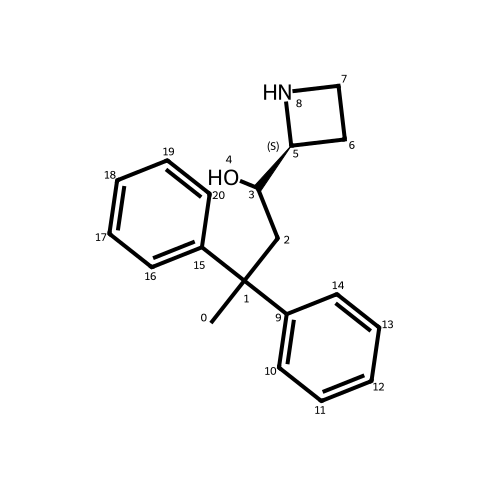 CC(CC(O)[C@@H]1CCN1)(c1ccccc1)c1ccccc1